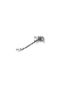 CN(C)C(CCCCCCCCCCCCCCCCCC[SiH3])(N(C)C)N(C)C